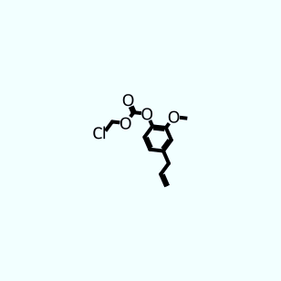 C=CCc1ccc(OC(=O)OCCl)c(OC)c1